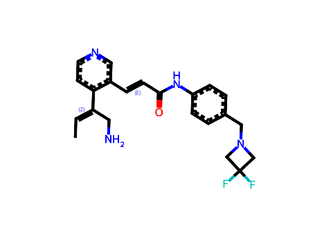 C/C=C(\CN)c1ccncc1/C=C/C(=O)Nc1ccc(CN2CC(F)(F)C2)cc1